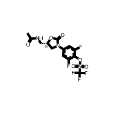 CC(=O)NC[C@H]1CN(c2cc(F)c(OS(=O)(=O)C(F)(F)F)c(F)c2)C(=O)O1